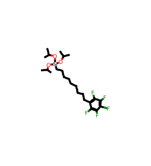 CC(C)O[Si](CCCCCCCCCc1c(F)c(F)c(F)c(F)c1F)(OC(C)C)OC(C)C